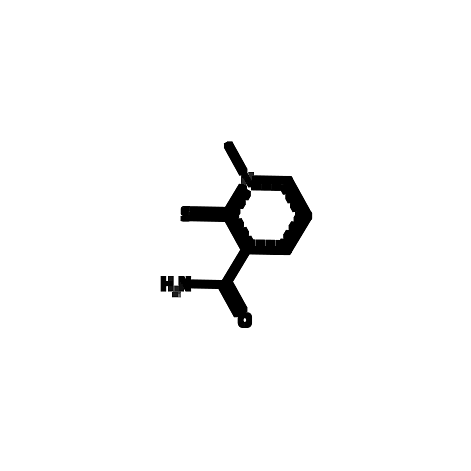 Cn1cccc(C(N)=O)c1=S